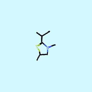 CC1CN(C)C(C(C)C)S1